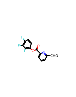 O=Cc1cccc(C(=O)Oc2ccc(F)c(F)c2F)n1